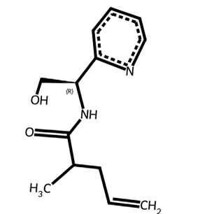 C=CCC(C)C(=O)N[C@@H](CO)c1ccccn1